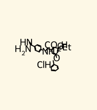 CCOc1cc(OCc2ccccc2)cc(C(Nc2ccc(C(=N)N)cc2)C(=O)O)c1.Cl